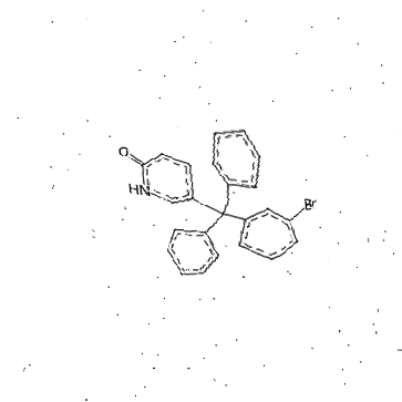 O=c1ccc(C(c2ccccc2)(c2ccccc2)c2cccc(Br)c2)c[nH]1